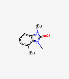 Cn1c(=O)n(C(C)(C)C)c2cccc(C(C)(C)C)c21